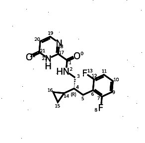 O=C(NC[C@H](Cc1c(F)cccc1F)C1CC1)c1nccc(=O)[nH]1